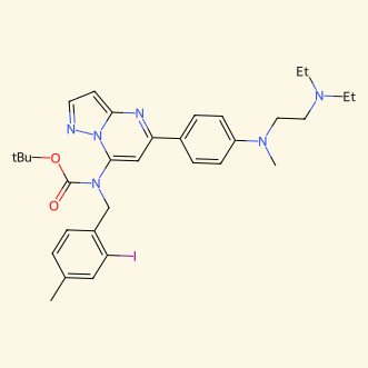 CCN(CC)CCN(C)c1ccc(-c2cc(N(Cc3ccc(C)cc3I)C(=O)OC(C)(C)C)n3nccc3n2)cc1